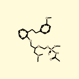 COc1cccc(CCc2ccccc2OCC(CN(C)C)OCOP(=S)(NC(C)=O)SC)c1